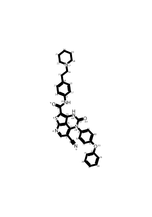 N#Cc1cnc2sc(C(=O)Nc3ccc(CCN4CCCCC4)cc3)c3c2c1N(c1ccc(Oc2ccccc2)cc1)C(=O)N3